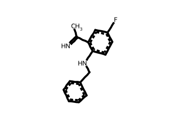 CC(=N)c1cc(F)ccc1NCc1ccccc1